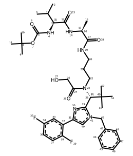 CC(C)[C@H](NC(=O)OC(C)(C)C)C(=O)N[C@@H](C)C(=O)NCCCN(C(=O)CO)[C@@H](c1nc(-c2cc(F)ccc2F)cn1Cc1ccccc1)C(C)(C)C